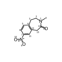 CN1CCc2ccc([N+](=O)[O-])cc2CC1=O